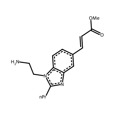 CCCc1nc2cc(/C=C/C(=O)OC)ccc2n1CCN